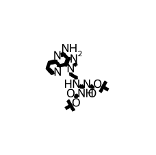 CC(C)(C)OC(=O)N=C(NCCn1cnc2c(N)nc3cccnc3c21)NC(=O)OC(C)(C)C